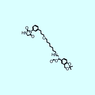 CC1(C)OCc2cc([C@@H](CNCCCCCCCOCCCc3cccc(N4C(=O)CNC4=O)c3)OC=O)ccc2O1